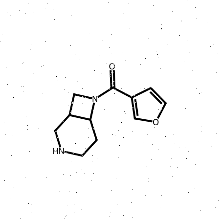 O=C(c1ccoc1)N1CC2CNCCC21